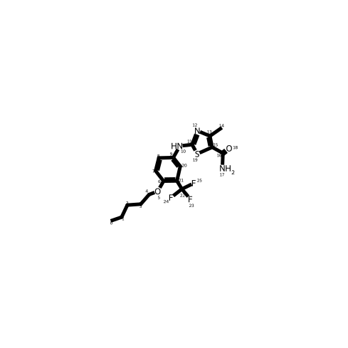 CCCCCOc1ccc(Nc2nc(C)c(C(N)=O)s2)cc1C(F)(F)F